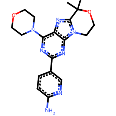 CC1(C)OCCn2c1nc1c(N3CCOCC3)nc(-c3ccc(N)nc3)nc12